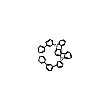 C1=CC(c2cccc(-c3cccc(-n4c5ccccc5c5c6c7ccccc7n(-c7cccc(-c8ccccc8)c7)c6ccc54)c3)c2)=CCC1